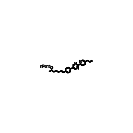 C=CCc1ccc(-c2ncc(-c3ccc(C=CCCCC(C)OCCCCC)cc3)cn2)nc1